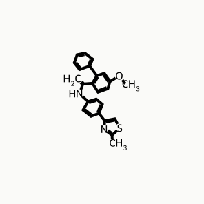 C=C(Nc1ccc(-c2csc(C)n2)cc1)c1ccc(OC)cc1-c1ccccc1